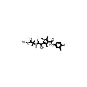 Cc1cc(NC(=O)c2c(C)c(C(O)C(=O)NC(C)(C)C(=O)OC(C)(C)C)n(C)c2C)ccc1F